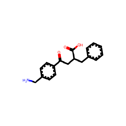 NCc1ccc(C(=O)CC(Cc2ccccc2)C(=O)O)cc1